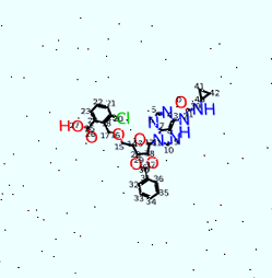 O=C(Nc1ncnc2c1ncn2C1OC(COCc2c(Cl)cccc2C(=O)O)C2O[C@H](c3ccccc3)OC21)NC1CC1